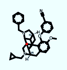 COc1ccc2c(c1Oc1cccc(C#N)c1)C13CCN(CC4CC4)[C@H](C2)C12CCC1C3[C@@H](CN1Cc1ccccc1)C2